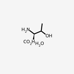 CC(O)[C@H](N)C(=O)O.O